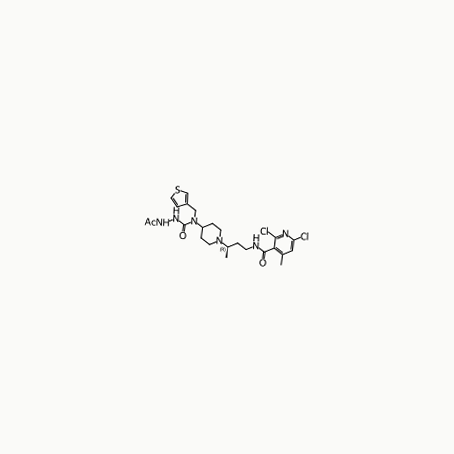 CC(=O)NNC(=O)N(Cc1ccsc1)C1CCN([C@H](C)CCNC(=O)c2c(C)cc(Cl)nc2Cl)CC1